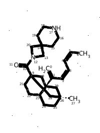 C=C(/C=C\C=C/C)[C@]12CC3(C(=O)N4CC5(CCNCC5)C4)CCC1CC[C@@](C)(C3)C2